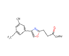 COC(=O)CCc1nc(-c2cc(C#N)cc(C(F)(F)F)c2)co1